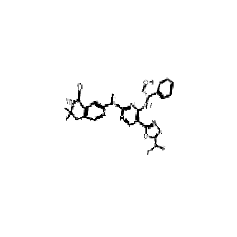 CC1(C)Cc2ccc(Nc3ncc(-c4nnc(C(F)F)o4)c(N[C@H](CO)c4ccccc4)n3)cc2C(=O)N1